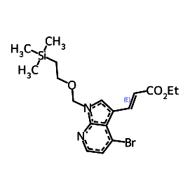 CCOC(=O)/C=C/c1cn(COCC[Si](C)(C)C)c2nccc(Br)c12